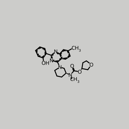 Cc1ccc2c(N3CCC[C@H](N(C)C(=O)O[C@H]4CCOC4)C3)nc(-c3ccccc3O)nc2c1